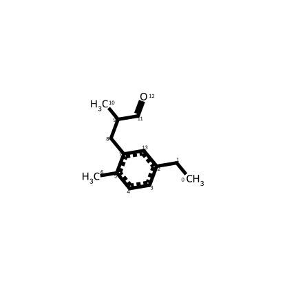 CCc1ccc(C)c(CC(C)C=O)c1